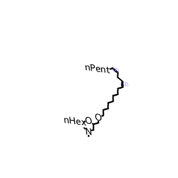 CCCCC/C=C\C/C=C\CCCCCCCCOCC(CN(C)C)OCCCCCC